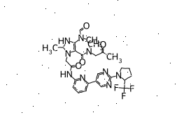 CC(=O)CN(C)C(=O)C1=C(N(C)C=O)NC(C)N1CC(=O)Nc1cccc(-c2cnc(N3CCCC3C(F)(F)F)nc2)n1